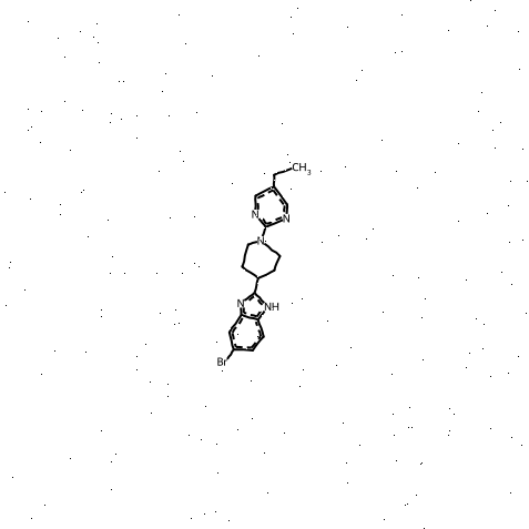 CCc1cnc(N2CCC(c3nc4cc(Br)ccc4[nH]3)CC2)nc1